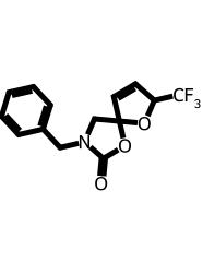 O=C1OC2(C=CC(C(F)(F)F)O2)CN1Cc1ccccc1